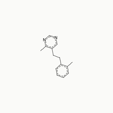 Cc1ccccc1CCc1cncnc1C